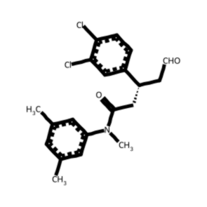 Cc1cc(C)cc(N(C)C(=O)C[C@@H](CC=O)c2ccc(Cl)c(Cl)c2)c1